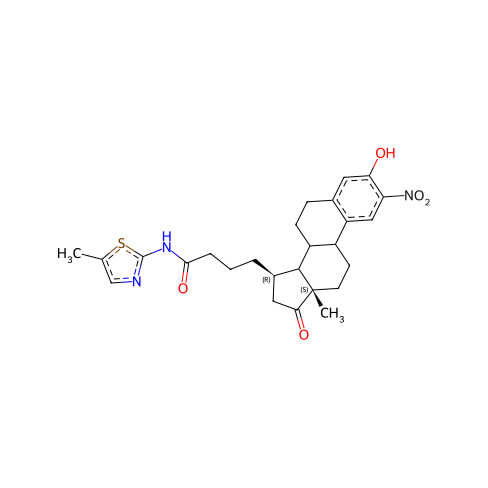 Cc1cnc(NC(=O)CCC[C@@H]2CC(=O)[C@@]3(C)CCC4c5cc([N+](=O)[O-])c(O)cc5CCC4C23)s1